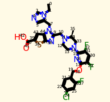 CCn1cncc1Cn1c(CN2CCN(c3nc(OCc4ccc(Cl)cc4F)c(F)cc3F)C[C@@H]2C)nc2sc(C(=O)O)cc21